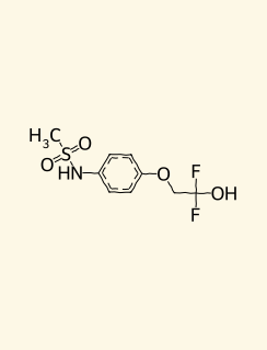 CS(=O)(=O)Nc1ccc(OCC(O)(F)F)cc1